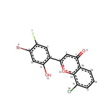 O=c1cc(-c2cc(F)c(Br)cc2O)oc2c(Cl)cccc12